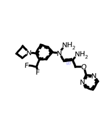 N/C(=C\N(N)c1ccc(N2CCC2)c(C(F)F)c1)COc1ncccn1